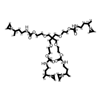 CC(CCNC(=O)OCCOCC(COCCOC(=O)NCCC(C)N1CC1)(COCCOC(=O)NCCC(C)N1CC1)COCCOC(=O)NCCC(C)N1CC1)N1CC1